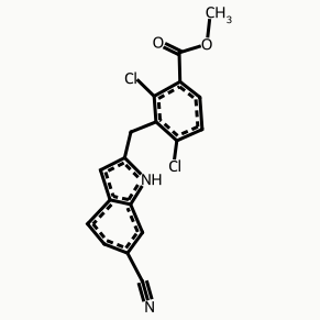 COC(=O)c1ccc(Cl)c(Cc2cc3ccc(C#N)cc3[nH]2)c1Cl